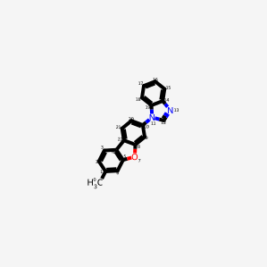 Cc1ccc2c(c1)oc1cc(-n3cnc4ccccc43)ccc12